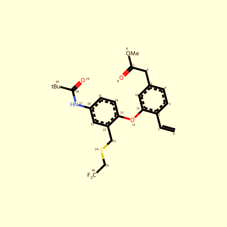 C=Cc1ccc(CC(=O)OC)cc1Oc1ccc(NC(=O)C(C)(C)C)cc1CSCC(F)(F)F